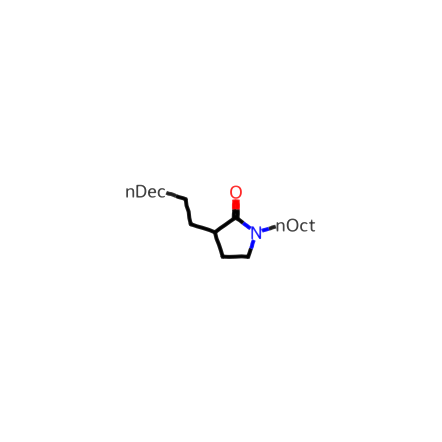 CCCCCCCCCCCCC1CCN(CCCCCCCC)C1=O